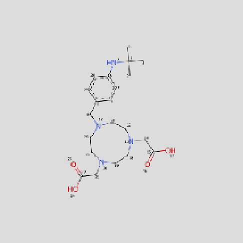 CC(C)(C)Nc1ccc(CN2CCN(CC(=O)O)CCN(CC(=O)O)CC2)cc1